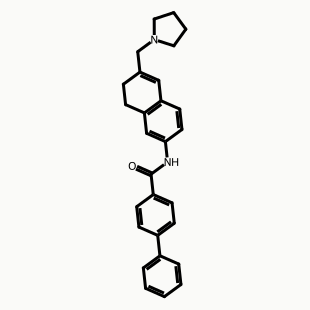 O=C(Nc1ccc2c(c1)CCC(CN1CCCC1)=C2)c1ccc(-c2ccccc2)cc1